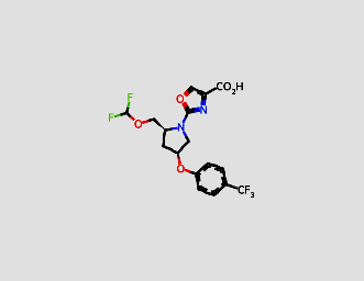 O=C(O)c1coc(N2C[C@@H](Oc3ccc(C(F)(F)F)cc3)C[C@H]2COC(F)F)n1